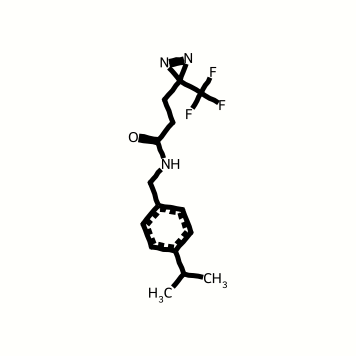 CC(C)c1ccc(CNC(=O)CCC2(C(F)(F)F)N=N2)cc1